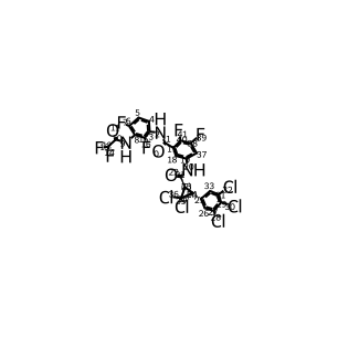 O=C(Nc1ccc(F)c(NC(=O)C(F)F)c1F)c1cc(NC(=O)[C@H]2[C@H](c3cc(Cl)c(Cl)c(Cl)c3)C2(Cl)Cl)cc(F)c1F